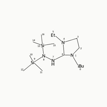 CCC(C)N1CCN(CC)C1NN([Si](C)(C)C)[Si](C)(C)C